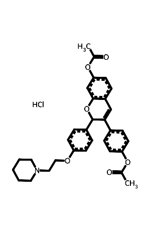 CC(=O)Oc1ccc(C2=Cc3ccc(OC(C)=O)cc3OC2c2ccc(OCCN3CCCCC3)cc2)cc1.Cl